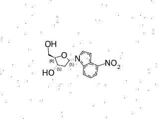 O=[N+]([O-])c1cccc2c1ccn2[C@@H]1C[C@H](O)[C@@H](CO)O1